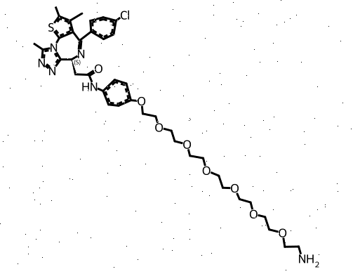 Cc1sc2c(c1C)C(c1ccc(Cl)cc1)=N[C@@H](CC(=O)Nc1ccc(OCCOCCOCCOCCOCCOCCOCCN)cc1)c1nnc(C)n1-2